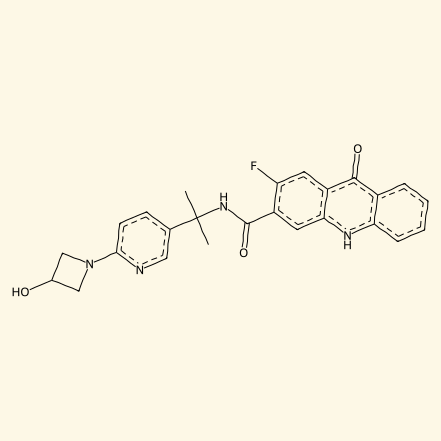 CC(C)(NC(=O)c1cc2[nH]c3ccccc3c(=O)c2cc1F)c1ccc(N2CC(O)C2)nc1